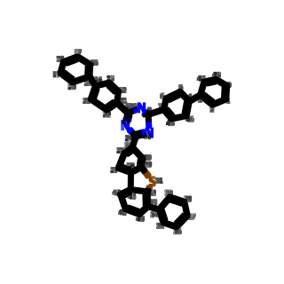 c1ccc(-c2ccc(-c3nc(-c4ccc(-c5ccccc5)cc4)nc(-c4ccc5c(c4)sc4c(-c6ccccc6)cccc45)n3)cc2)cc1